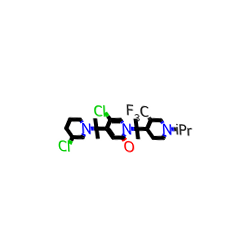 CC(C)N1CCC(C(C)(C)n2cc(Cl)c(C(C)(C)N3CCCC(Cl)C3)cc2=O)C(C(F)(F)F)C1